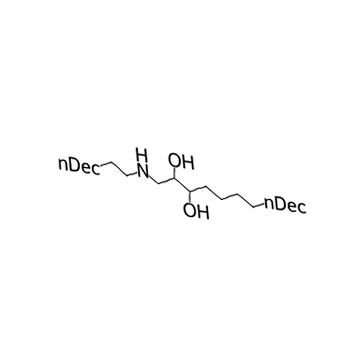 CCCCCCCCCCCCCCC(O)C(O)CNCCCCCCCCCCCC